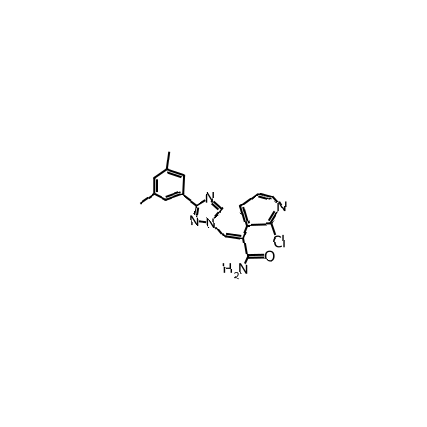 Cc1cc(C)cc(-c2ncn(/C=C(/C(N)=O)c3cccnc3Cl)n2)c1